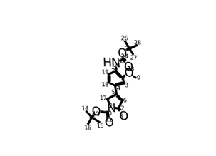 COc1cc(C2=CC(=O)N(C(=O)OC(C)(C)C)C2)ccc1NC(=O)OC(C)(C)C